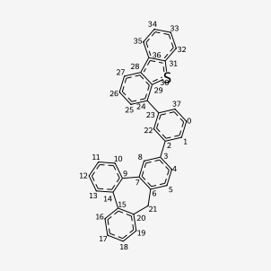 c1cc(-c2ccc3c(c2)-c2ccccc2-c2ccccc2C3)cc(-c2cccc3c2sc2ccccc23)c1